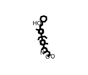 CCC(CC)(c1ccc(C=CC2(O)CCCCCC2)c(C)c1)c1ccc(-c2cncc(CC(=O)OC)c2)c(C)c1